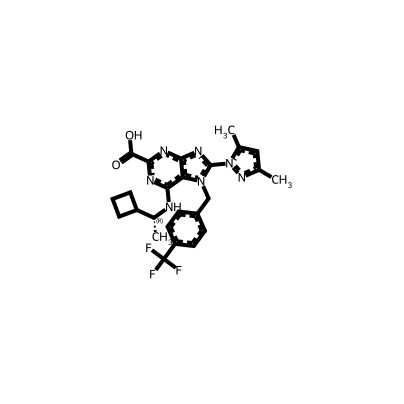 Cc1cc(C)n(-c2nc3nc(C(=O)O)nc(N[C@H](C)C4CCC4)c3n2Cc2ccc(C(F)(F)F)cc2)n1